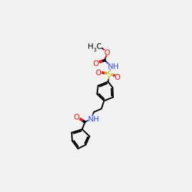 COC(=O)NS(=O)(=O)c1ccc(CCNC(=O)c2ccccc2)cc1